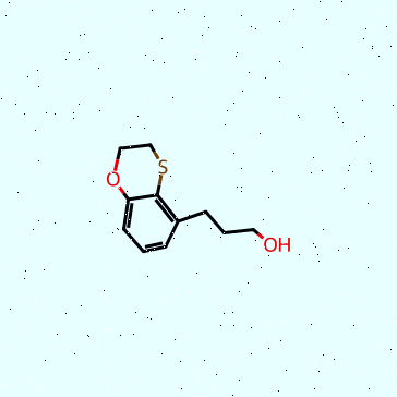 OCCCc1cccc2c1SCCO2